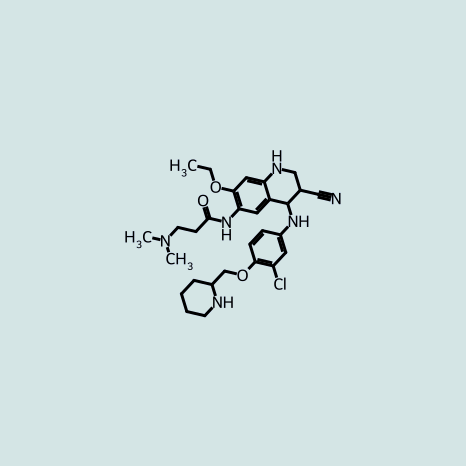 CCOc1cc2c(cc1NC(=O)CCN(C)C)C(Nc1ccc(OCC3CCCCN3)c(Cl)c1)C(C#N)CN2